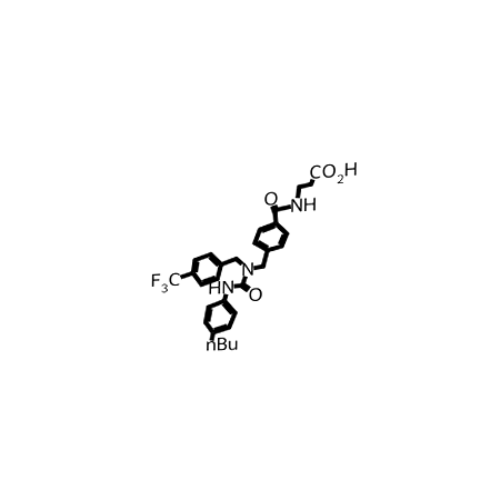 CCCCc1ccc(NC(=O)N(Cc2ccc(C(=O)NCCC(=O)O)cc2)Cc2ccc(C(F)(F)F)cc2)cc1